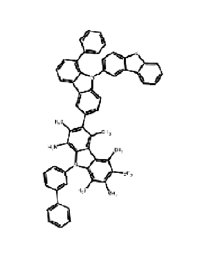 Bc1c(B)c(B)c2c(c1B)c1c(B)c(-c3ccc4c(c3)c3cccc(-c5ccccc5)c3n4-c3ccc4sc5ccccc5c4c3)c(B)c(B)c1n2-c1cccc(-c2ccccc2)c1